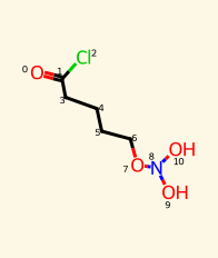 O=C(Cl)CCCCON(O)O